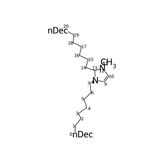 CCCCCCCCCCCCCCCCCN1C=CN(C)C1CCCCCCCCCCCCCCCC